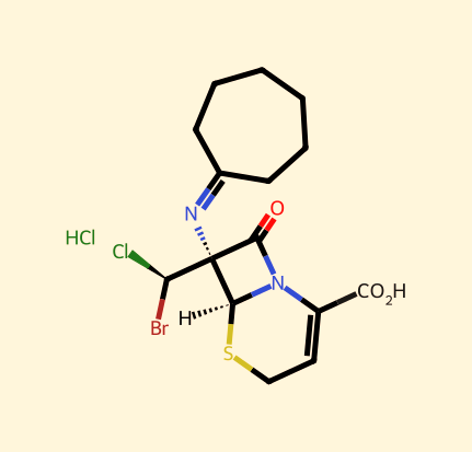 Cl.O=C(O)C1=CCS[C@@H]2N1C(=O)[C@]2(N=C1CCCCCC1)[C@H](Cl)Br